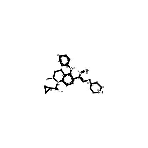 C[C@H]1CCc2c(ccc(/C(=C/NC3CCNCC3)N=N)c2Oc2ccccc2)N1C(=O)C1CC1